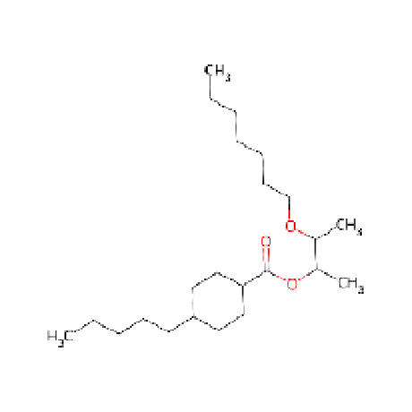 CCCCCCCOC(C)C(C)OC(=O)C1CCC(CCCCC)CC1